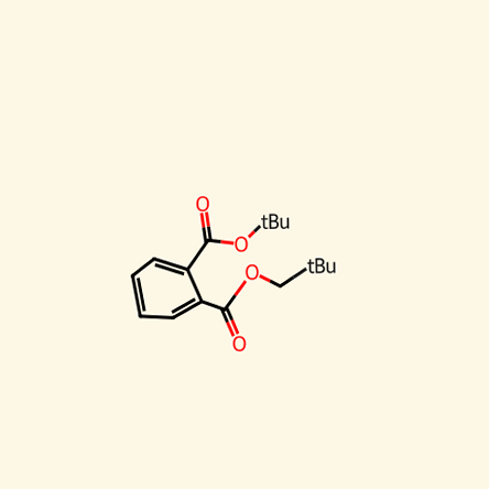 CC(C)(C)COC(=O)c1ccccc1C(=O)OC(C)(C)C